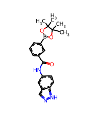 CC1(C)OB(c2cccc(C(=O)Nc3ccc4[nH]ncc4c3)c2)OC1(C)C